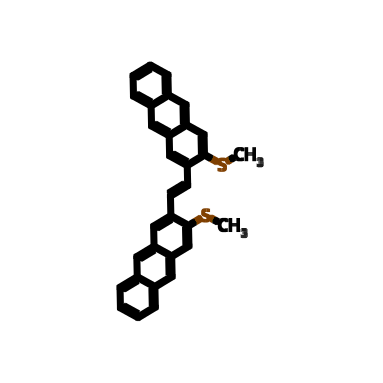 CSc1cc2cc3ccccc3cc2cc1C=Cc1cc2cc3ccccc3cc2cc1SC